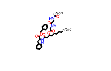 CCCCCCCCCCCCCCCC(CC(=O)N[C@@H](Cc1ccccc1)C(=O)OCc1ccccc1)OC(=O)CNC(=O)CNC(=O)CCCCCCCCC